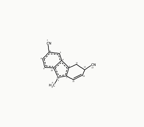 Cn1c2c(c3cc(C#N)ccc31)CC(C#N)C=C2